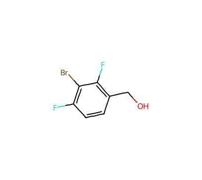 OCc1ccc(F)c(Br)c1F